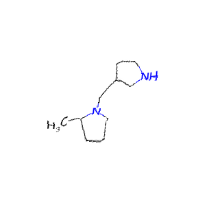 CC1CCCN1CC1CCNC1